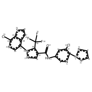 O=C(Nc1cnc(-n2nccn2)c(Cl)c1)c1cnn(-c2cnc(Cl)c3sccc23)c1C(F)(F)F